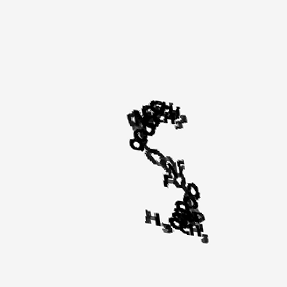 CC(C)(C)OC(=O)N1CCC[C@H]1C(=O)OCC(=O)c1cc(F)c(N2CCc3cc(C(=O)COC(=O)[C@@H]4CCCN4C(=O)OC(C)(C)C)ccc3C2)c(F)c1